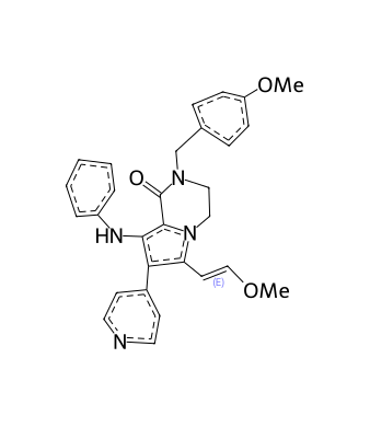 CO/C=C/c1c(-c2ccncc2)c(Nc2ccccc2)c2n1CCN(Cc1ccc(OC)cc1)C2=O